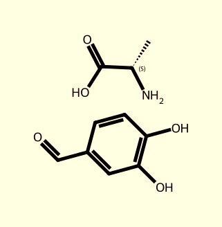 C[C@H](N)C(=O)O.O=Cc1ccc(O)c(O)c1